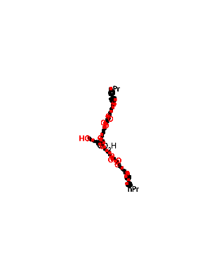 CCC[C@H]1CC[C@H](c2ccc(OCCCCCCOC(=O)CCC(=O)OCCCCCCOC3=CC(CCCCCCO)(C(=O)O)C(OCCCCCCOC(=O)CCC(=O)OCCCCCCOc4ccc([C@H]5CC[C@H](CCC)CC5)cc4)C=C3)cc2)CC1